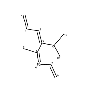 C=C/C=C(\C(C)=N/C=C)C(C)C